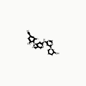 N#Cc1cc(F)c(-n2ncc3cnc(Nc4cc(N5CCCC(O)C5)ncn4)cc32)c(Cl)c1